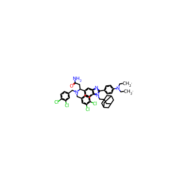 [CH2]CN(C[CH2])c1ccc(-c2nc3cc(C(CC(N)=O)N(Cc4ccc(Cl)c(Cl)c4)Cc4ccc(Cl)c(Cl)c4)ccc3n2CC23CC4CC(CC(C4)C2)C3)cc1